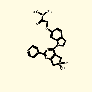 CN(C)C(=O)COc1ccc2c(c1)N(c1nc(-c3ccncc3)nc3c1CS(O)(O)C3)CC2